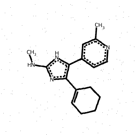 CNc1nc(C2=CCCCC2)c(-c2ccnc(C)c2)[nH]1